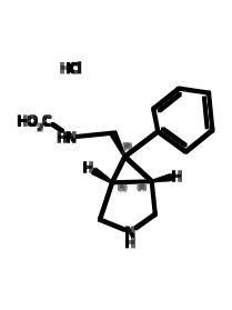 Cl.O=C(O)NC[C@@]1(c2ccccc2)[C@@H]2CNC[C@@H]21